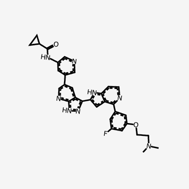 CN(C)CCOc1cc(F)cc(-c2nccc3[nH]c(-c4n[nH]c5ncc(-c6cncc(NC(=O)C7CC7)c6)cc45)cc23)c1